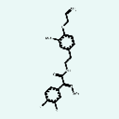 C=CCOc1ccc(CCNC(=O)C(=NSC)c2ccc(Cl)c(Cl)c2)cc1OC